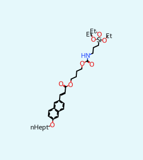 CCCCCCCOc1ccc2cc(/C=C/C(=O)OCCCCOC(=O)NCCC[Si](OCC)(OCC)OCC)ccc2c1